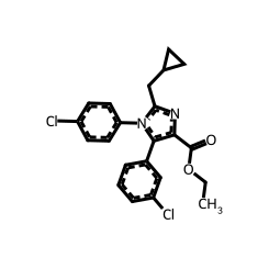 CCOC(=O)c1nc(CC2CC2)n(-c2ccc(Cl)cc2)c1-c1cccc(Cl)c1